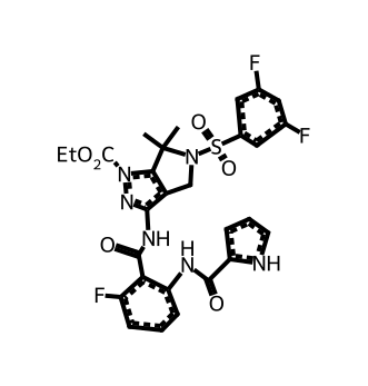 CCOC(=O)n1nc(NC(=O)c2c(F)cccc2NC(=O)c2ccc[nH]2)c2c1C(C)(C)N(S(=O)(=O)c1cc(F)cc(F)c1)C2